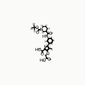 Cc1c(-c2cccc(NC(=O)C3CCCN(C(=O)OC(C)(C)C)C3)c2)sc(C(=O)O)c1OCC(=O)O